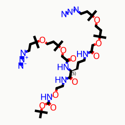 CC(C)(C)OC(=O)NOCCNC(=O)[C@H](CCCNC(=O)COC(C)(C)CCOC(C)(C)CCN=[N+]=[N-])NC(=O)COC(C)(C)CCOC(C)(C)CCN=[N+]=[N-]